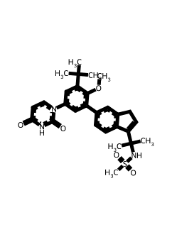 COc1c(-c2ccc3c(c2)CC=C3C(C)(C)NS(C)(=O)=O)cc(-n2ccc(=O)[nH]c2=O)cc1C(C)(C)C